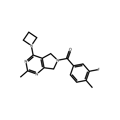 Cc1nc2c(c(N3CCC3)n1)CN(C(=O)c1ccc(C)c(F)c1)C2